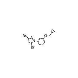 Brc1cc(Br)n(-c2cccc(OCC3CC3)c2)n1